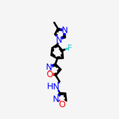 Cc1cn(-c2ccc(-c3cc(CNc4ccon4)on3)cc2F)cn1